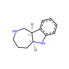 c1ccc2c(c1)N[C@H]1CCCNC[C@@H]21